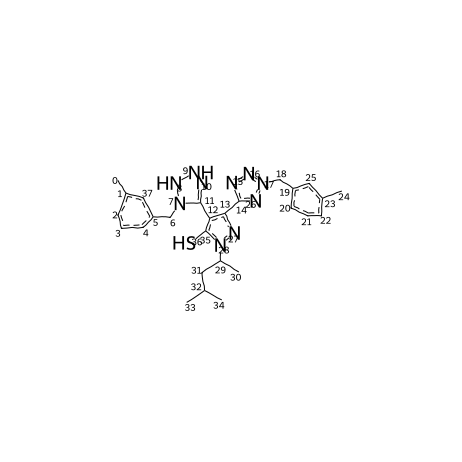 Cc1cccc(CN2NNN=C2c2c(-c3nnn(Cc4cccc(C)c4)n3)nn(C(C)CC(C)C)c2S)c1